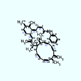 C=C(/C=C\C=C/C(=C)C(=C)/C=C\C=C/C(=C)C(C)C1(C)C/C=C\C=C/C(=C)C(=C)/C=C\C=C/C1=C)Nc1ccccc1